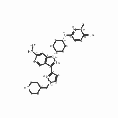 CCNc1cc2c(cn1)c(-c1ccn(CC3CCOCC3)n1)nn2[C@H]1CC[C@@H](Oc2ccc(=O)n(C)n2)CC1